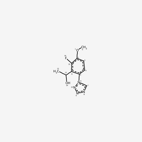 COc1ccc(-n2cnnn2)c(C(C)O)c1F